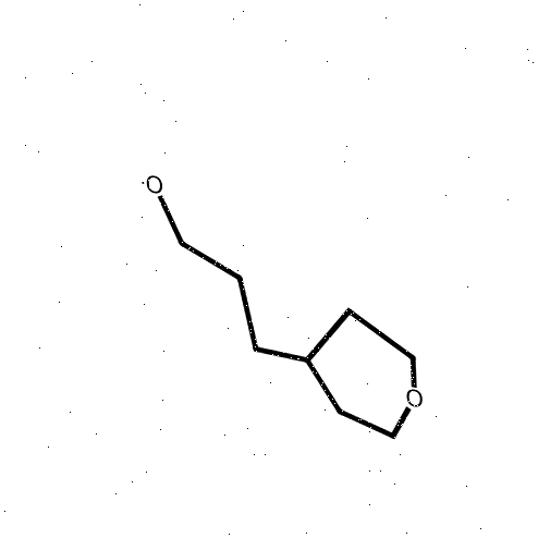 [O]CCCC1CCOCC1